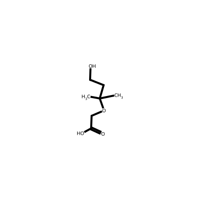 CC(C)(CCO)OCC(=O)O